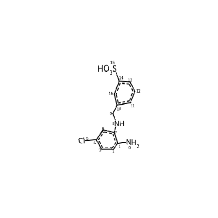 Nc1ccc(Cl)cc1NCc1cccc(S(=O)(=O)O)c1